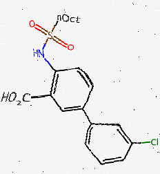 CCCCCCCCS(=O)(=O)Nc1ccc(-c2cccc(Cl)c2)cc1C(=O)O